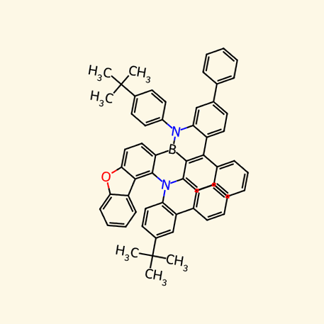 CC(C)(C)c1ccc(N2B3c4ccc5oc6ccccc6c5c4N(c4ccc(C(C)(C)C)cc4-c4ccccc4)c4cc5ccccc5c(c43)-c3ccc(-c4ccccc4)cc32)cc1